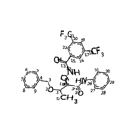 CC(OCc1ccccc1)[C@@H](ONC(=O)c1cc(C(F)(F)F)cc(C(F)(F)F)c1)C(=O)Nc1ccccc1